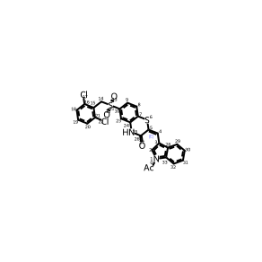 CC(=O)n1cc(/C=C2/Sc3ccc(S(=O)(=O)Cc4c(Cl)cccc4Cl)cc3NC2=O)c2ccccc21